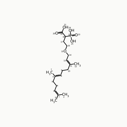 CC(C)=CCCC(C)=CCCC(C)=CCOCCC(C(=O)O)P(=O)(O)O